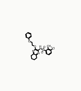 Cc1c(Cl)cccc1S(=O)(=O)Nc1nc2c(nc1OCCOc1ccccc1)CCCC2